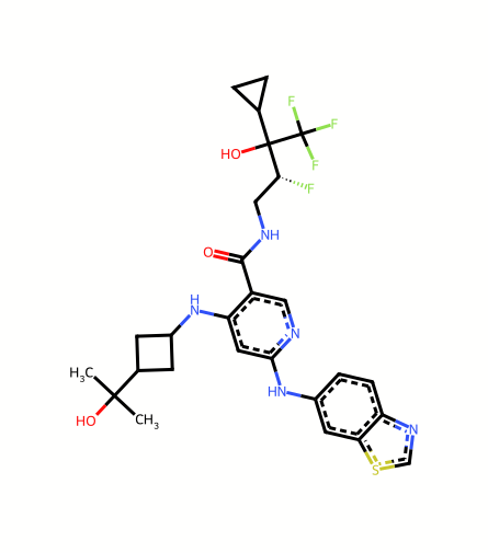 CC(C)(O)C1CC(Nc2cc(Nc3ccc4ncsc4c3)ncc2C(=O)NC[C@@H](F)C(O)(C2CC2)C(F)(F)F)C1